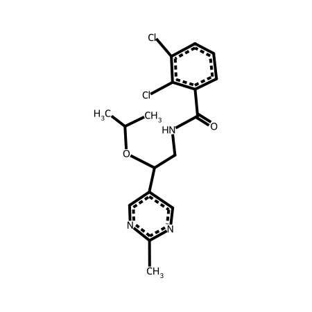 Cc1ncc(C(CNC(=O)c2cccc(Cl)c2Cl)OC(C)C)cn1